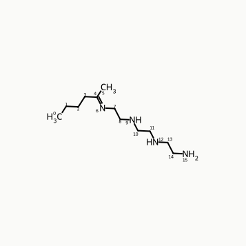 CCCCC(C)=NCCNCCNCCN